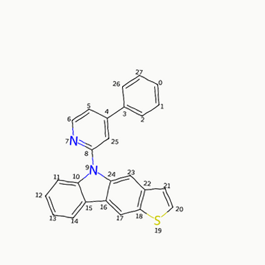 c1ccc(-c2ccnc(-n3c4ccccc4c4cc5sccc5cc43)c2)cc1